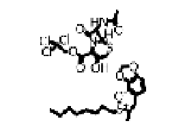 CC(=O)NC1C(=O)N2C(C(=O)OCC(Cl)(Cl)Cl)=C(O)CS[C@H]12.CCCCCCCC[S+]([O-])C(C)Cc1ccc2c(c1)OCO2